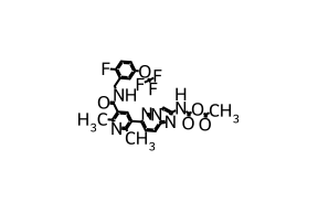 CC(=O)OC(=O)Nc1cn2nc(-c3cc(C(=O)NCc4cc(OC(F)(F)F)ccc4F)c(C)nc3C)ccc2n1